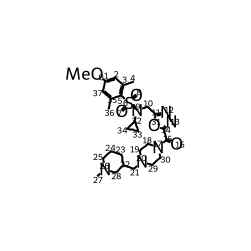 COc1cc(C)c(S(=O)(=O)N(Cc2nnc(C(=O)N3CCN(CC4CCCN(C)C4)CC3)o2)C2CC2)c(C)c1